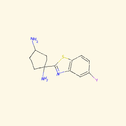 NC1CCC(N)(c2nc3cc(I)ccc3s2)C1